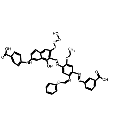 CCOc1cc(N=Nc2cccc(C(=O)O)c2)c(/N=C\Oc2ccccc2)cc1N=Nc1c(SOOO)cc2ccc(Nc3ccc(C(=O)O)cc3)cc2c1O